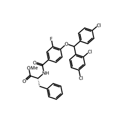 COC(=O)[C@@H](Cc1ccccc1)NC(=O)c1ccc(OC(c2ccc(Cl)cc2)c2ccc(Cl)cc2Cl)c(F)c1